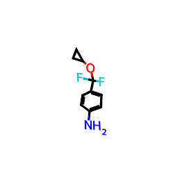 Nc1ccc(C(F)(F)OC2CC2)cc1